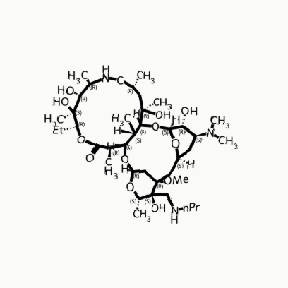 CCCNC[C@]1(O)[C@H](C)O[C@@H]2C[C@]1(OC)C[C@@H]1C[C@H](N(C)C)[C@@H](O)[C@@H](O1)O[C@@H]1[C@@H](C)[C@H](O2)[C@@H](C)C(=O)O[C@H](CC)[C@@](C)(O)[C@H](O)[C@@H](C)NC[C@H](C)C[C@@]1(C)O